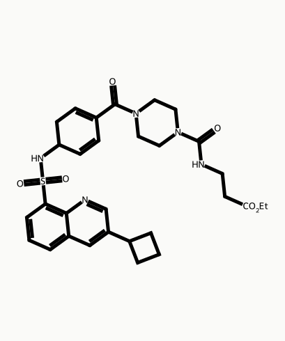 CCOC(=O)CCNC(=O)N1CCN(C(=O)C2=CCC(NS(=O)(=O)c3cccc4cc(C5CCC5)cnc34)C=C2)CC1